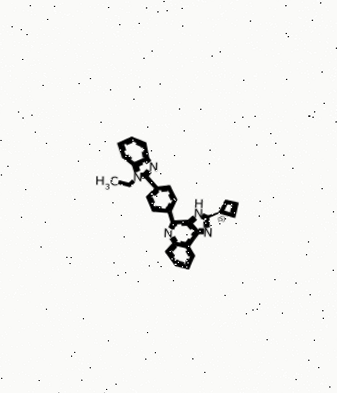 CCn1c(-c2ccc(-c3nc4ccccc4c4nc([C@@H]5C=CC5)[nH]c34)cc2)nc2ccccc21